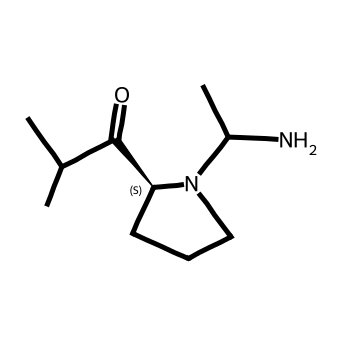 CC(C)C(=O)[C@@H]1CCCN1C(C)N